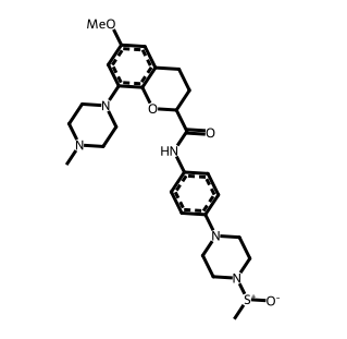 COc1cc2c(c(N3CCN(C)CC3)c1)OC(C(=O)Nc1ccc(N3CCN([S+](C)[O-])CC3)cc1)CC2